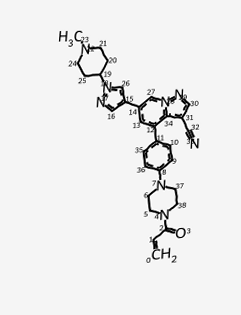 C=CC(=O)N1CCN(c2ccc(-c3cc(-c4cnn(C5CCN(C)CC5)c4)cn4ncc(C#N)c34)cc2)CC1